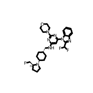 FC[C@@H]1CCCN1[C@H]1CC[C@@H](CNc2cc(-n3c(C(F)F)nc4ccccc43)nc(N3CCOCC3)n2)CC1